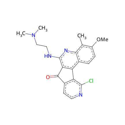 COc1ccc2c3c(c(NCCN(C)C)nc2c1C)C(=O)c1ccnc(Cl)c1-3